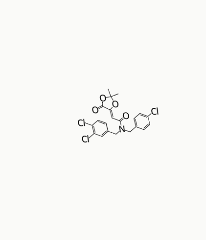 CC1(C)OC(=O)C(=CC(=O)N(Cc2ccc(Cl)cc2)Cc2ccc(Cl)c(Cl)c2)O1